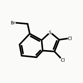 Clc1sc2c(CBr)cccc2c1Cl